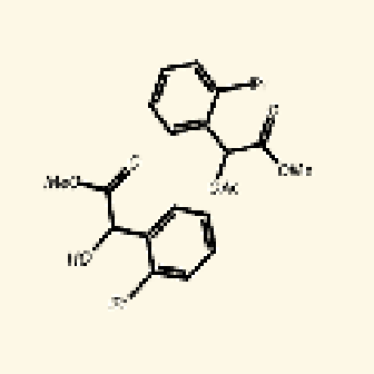 COC(=O)C(O)c1ccccc1C(C)C.COC(=O)C(OC(C)=O)c1ccccc1C(C)C